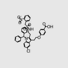 O=C(O)c1ccc(OCCc2c(CCNS(=O)(=O)Cc3ccccc3[N+](=O)[O-])n(C(c3ccccc3)c3ccccc3)c3ccc(Cl)cc23)cc1